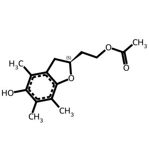 CC(=O)OCC[C@@H]1Cc2c(C)c(O)c(C)c(C)c2O1